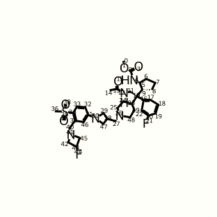 COC(=O)N[C@H]1CCC[C@@H]1[C@](CNC(C)=O)(c1cccc(F)c1)C1CCN(CC2CN(c3ccc(S(C)(=O)=O)c(CN4CC(F)C4)c3)C2)CC1